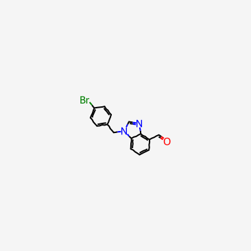 O=Cc1cccc2c1ncn2Cc1ccc(Br)cc1